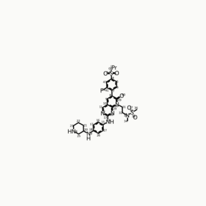 CC(C)S(=O)(=O)c1ccc(-c2cc3cnc(Nc4ccc(NC5CCCNC5)cc4)nc3n(CCN(C)S(C)(=O)=O)c2=O)c(F)c1